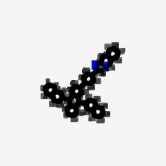 c1ccc2cc(-c3c4ccccc4c(-c4ccc5ccccc5c4)c4cc(-c5ccc(-c6cn7cc8ccccc8cc7n6)cc5)ccc34)ccc2c1